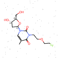 Cc1cn([C@H]2C[C@H](O)[C@@H](CO)O2)c(=O)n(CCOCC[18F])c1=O